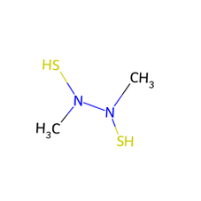 CN(S)N(C)S